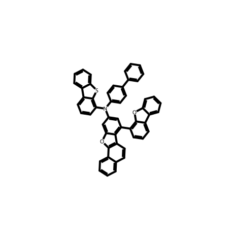 c1ccc(-c2ccc(N(c3cc(-c4cccc5c4oc4ccccc45)c4c(c3)oc3c5ccccc5ccc34)c3cccc4c3sc3ccccc34)cc2)cc1